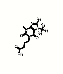 [2H]c1nc2c(c(=O)n(CCCC(=O)O)c(=O)n2C)n1C([2H])([2H])[2H]